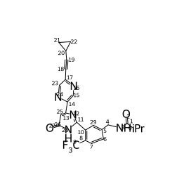 CC(C)C(=O)NCc1ccc(C(F)(F)F)c(-c2nc(-c3cnc(C#CC4CC4)cn3)cc(=O)[nH]2)c1